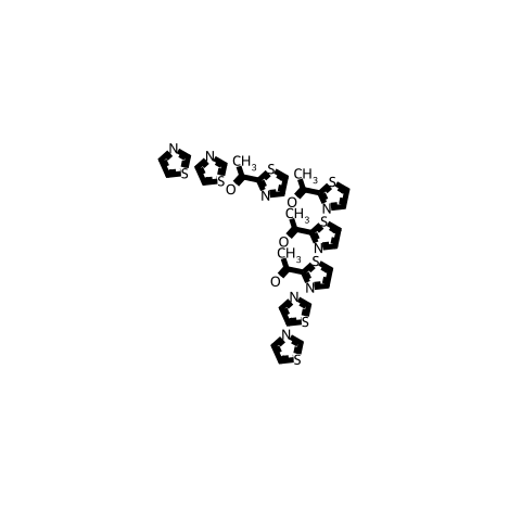 CC(=O)c1nccs1.CC(=O)c1nccs1.CC(=O)c1nccs1.CC(=O)c1nccs1.c1cscn1.c1cscn1.c1cscn1.c1cscn1